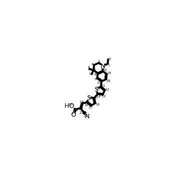 CCN1CCC(C)(C)c2cc(-c3ccc(-c4ccc(/C=C(\C#N)C(=O)O)s4)s3)ccc21